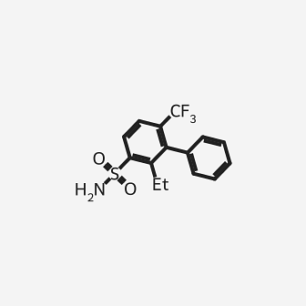 CCc1c(S(N)(=O)=O)ccc(C(F)(F)F)c1-c1ccccc1